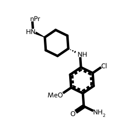 CCCN[C@H]1CC[C@H](Nc2cc(OC)c(C(N)=O)cc2Cl)CC1